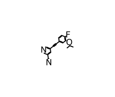 CC(C)Oc1cc(C#Cc2cncc(C#N)c2)ccc1F